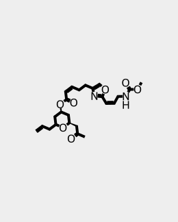 C=CCC1C[C@@H](OC(=O)/C=C\CCc2coc(/C=C\CNC(=O)OC)n2)C[C@@H](CC(C)=O)O1